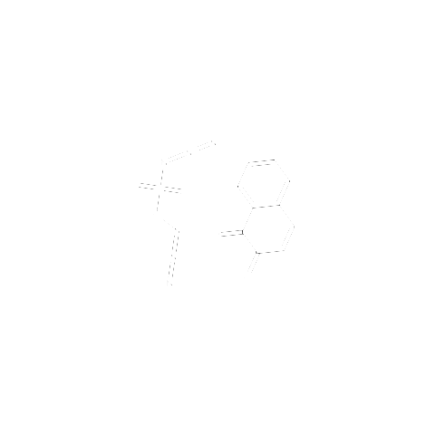 O=C1C=Cc2ccccc2C1=O.[N-]=[N+]=NOS(=O)(=O)N=[N+]=[N-]